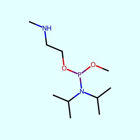 CNCCOP(OC)N(C(C)C)C(C)C